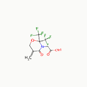 C=C1COC(C(F)(F)F)(C(F)(F)F)N(CC(=O)O)C1=O